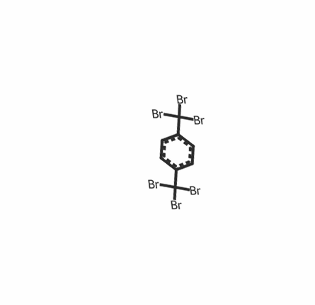 BrC(Br)(Br)c1ccc(C(Br)(Br)Br)cc1